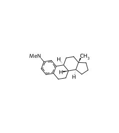 CNc1ccc2c(c1)[C@H]1CC[C@]3(C)CCC[C@H]3[C@@H]1CC2